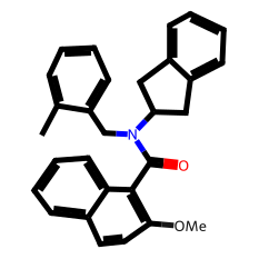 COc1ccc2ccccc2c1C(=O)N(Cc1ccccc1C)C1Cc2ccccc2C1